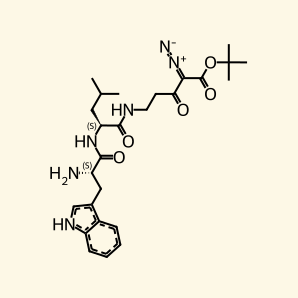 CC(C)C[C@H](NC(=O)[C@@H](N)Cc1c[nH]c2ccccc12)C(=O)NCCC(=O)C(=[N+]=[N-])C(=O)OC(C)(C)C